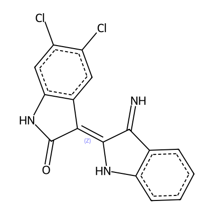 N=C1/C(=C2/C(=O)Nc3cc(Cl)c(Cl)cc32)Nc2ccccc21